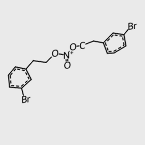 O=[N+](OCCc1cccc(Br)c1)OCCc1cccc(Br)c1